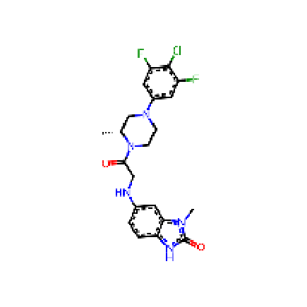 C[C@@H]1CN(c2cc(F)c(Cl)c(F)c2)CCN1C(=O)CNc1ccc2[nH]c(=O)n(C)c2c1